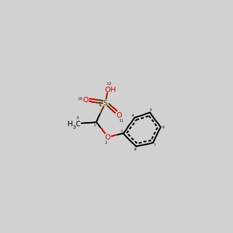 CC(Oc1ccccc1)S(=O)(=O)O